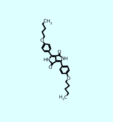 CCCCCOc1ccc(C2=C3C(=O)NC(c4ccc(OCCCCC)cc4)=C3C(=O)N2)cc1